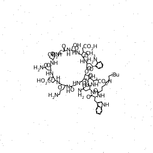 CCC(C)CCCCCCC(=O)NC(Cc1c[nH]c2ccccc12)C(=O)NC(CC(N)=O)C(=O)NC(CC(=O)O)C(=O)NC1C(=O)NCC(=O)NC(CCCN)C(=O)NC(CC(=O)O)C(=O)NC(CC(N)=O)C(=O)NC(CC(=O)O)C(=O)NCC(=O)NC(CO)C(=O)NC(C(C)CC(=O)O)C(=O)NC(CC(=O)c2ccccc2N)C(=O)OC1C